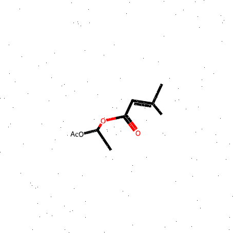 CC(=O)OC(C)OC(=O)C=C(C)C